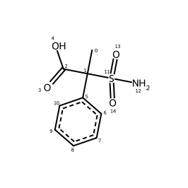 CC(C(=O)O)(c1ccccc1)S(N)(=O)=O